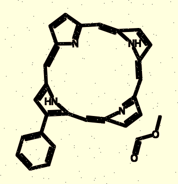 C1=Cc2cc3cc(-c4ccccc4)c(cc4nc(cc5ccc(cc1n2)[nH]5)C=C4)[nH]3.COC=O